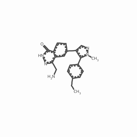 CCc1ccc(-c2c(-c3ccc4c(=O)[nH]nc(CN)c4c3)cnn2C)cc1